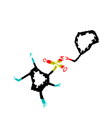 O=S(=O)(OCc1ccccc1)c1c(F)c(F)cc(F)c1F